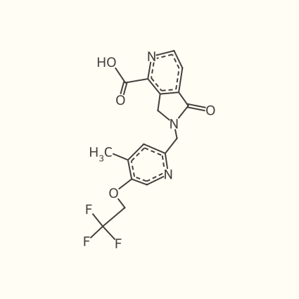 Cc1cc(CN2Cc3c(ccnc3C(=O)O)C2=O)ncc1OCC(F)(F)F